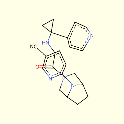 N#Cc1ccc(N2C3CCC2CN(C(=O)CNC2(c4ccncc4)CC2)C3)nc1